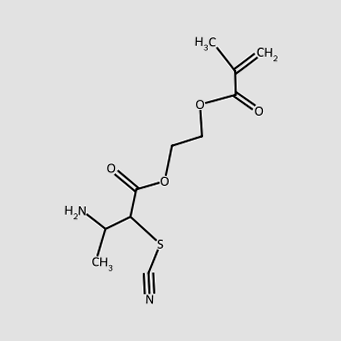 C=C(C)C(=O)OCCOC(=O)C(SC#N)C(C)N